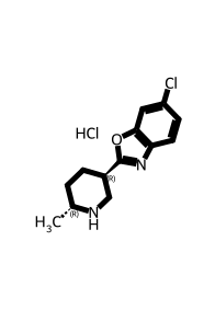 C[C@@H]1CC[C@@H](c2nc3ccc(Cl)cc3o2)CN1.Cl